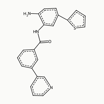 Nc1ccc(-c2cccs2)cc1NC(=O)c1cccc(-c2cccnc2)c1